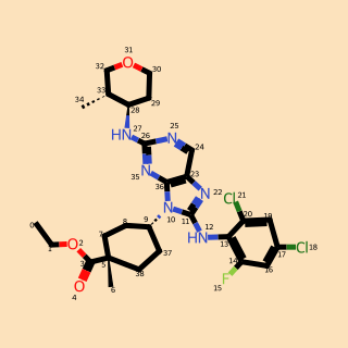 CCOC(=O)[C@]1(C)CC[C@H](n2c(Nc3c(F)cc(Cl)cc3Cl)nc3cnc(N[C@@H]4CCOC[C@H]4C)nc32)CC1